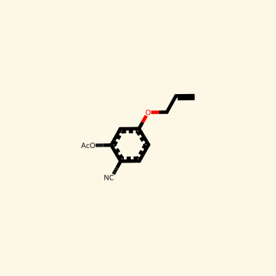 C=CCOc1ccc(C#N)c(OC(C)=O)c1